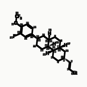 CCC=C[C@@H]1CC[C@H]2[C@H](CC[C@H]3C[C@H](c4ccc(OC(F)(F)F)c(F)c4)CC[C@@H]32)C1